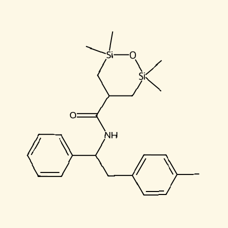 Cc1ccc(CC(NC(=O)C2C[Si](C)(C)O[Si](C)(C)C2)c2ccccc2)cc1